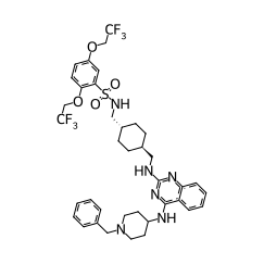 O=S(=O)(NC[C@H]1CC[C@H](CNc2nc(NC3CCN(Cc4ccccc4)CC3)c3ccccc3n2)CC1)c1cc(OCC(F)(F)F)ccc1OCC(F)(F)F